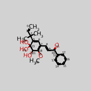 C=CC(C)(C)C1=CC(C=CC(=O)c2ccccc2)=C(OC)C(O)C1(O)O